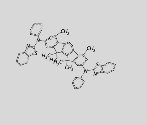 Cc1cc(N(c2ccccc2)c2nc3ccccc3s2)cc2c1-c1ccc3c(c1C2(C)C)C(C)(C)c1cc(N(c2ccccc2)c2nc4ccccc4s2)cc(C)c1-3